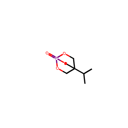 CC(C)C12COP(=O)(OC1)OC2